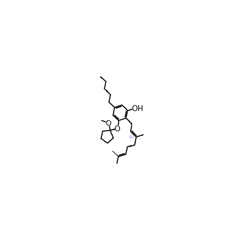 CCCCCc1cc(O)c(C/C=C(\C)CCC=C(C)C)c(OC2(OC)CCCC2)c1